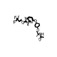 CC(=O)N[C@@H](C)CO[C@H]1CC[C@H](Oc2ccc3nc(OCCC(F)(F)F)n(C)c3n2)CC1